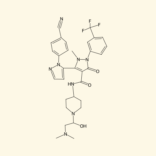 CN(C)CC(O)N1CCC(NC(=O)c2c(-c3ccnn3-c3ccc(C#N)cc3)n(C)n(-c3cccc(C(F)(F)F)c3)c2=O)CC1